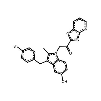 Cc1c(Cc2ccc(Br)cc2)c2cc(O)ccc2n1CC(=O)c1nc2ncccc2o1